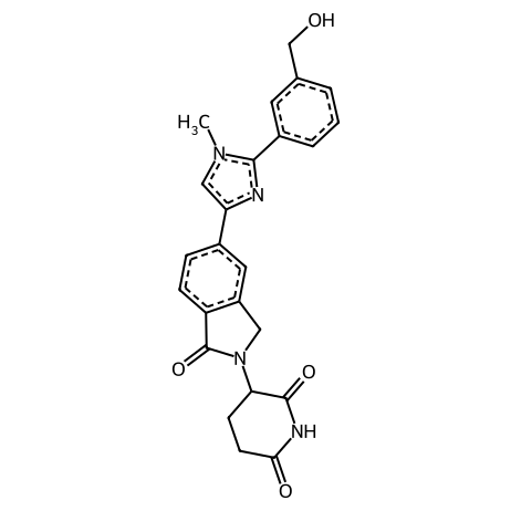 Cn1cc(-c2ccc3c(c2)CN(C2CCC(=O)NC2=O)C3=O)nc1-c1cccc(CO)c1